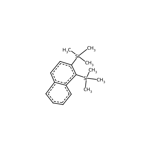 C[Si](C)(C)c1ccc2ccccc2c1[Si](C)(C)C